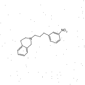 O=[N+]([O-])c1cccc(CCCN2CCc3ccccc3C2)c1